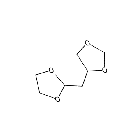 C1OCC(CC2OCCO2)O1